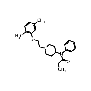 CCC(=O)N(c1ccccc1)C1CCN(CCSc2cc(C)ccc2C)CC1